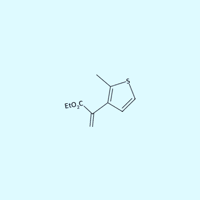 C=C(C(=O)OCC)c1ccsc1C